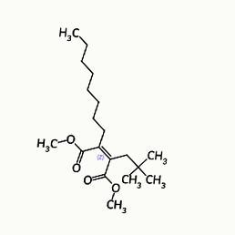 CCCCCCCC/C(C(=O)OC)=C(\CC(C)(C)C)C(=O)OC